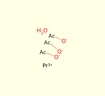 CC(=O)[O-].CC(=O)[O-].CC(=O)[O-].O.[Pr+3]